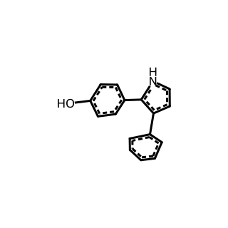 Oc1ccc(-c2[nH]ccc2-c2ccccc2)cc1